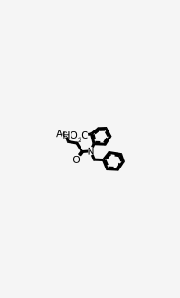 CC(=O)CCC(=O)N(Cc1ccccc1)c1ccccc1C(=O)O